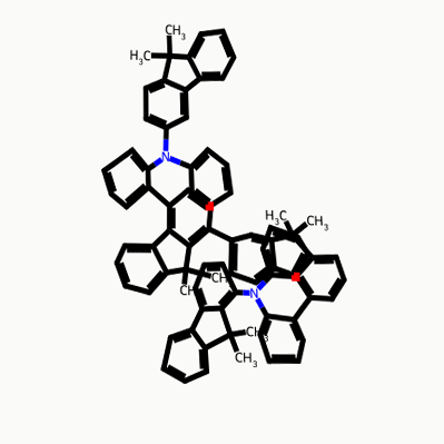 CC1(C)c2ccccc2-c2cc(N(c3ccccc3)c3ccccc3-c3ccc(-c4ccc5c(c4)C(C)(C)c4cccc(-c6ccccc6N(c6ccccc6)c6cccc7c6C(C)(C)c6ccccc6-7)c4-5)c4c3-c3ccccc3C4(C)C)ccc21